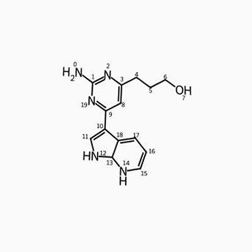 Nc1nc(CCCO)cc(C2=CNC3NC=CC=C23)n1